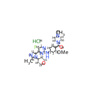 COc1cc(Nc2ncc(F)c(-c3cnc(C)n3C3CCOCC3)n2)ccc1C(=O)N1CCN(C)CC1.Cl